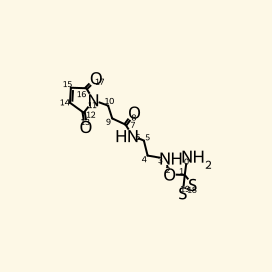 NC1(ONCCNC(=O)CCN2C(=O)C=CC2=O)SS1